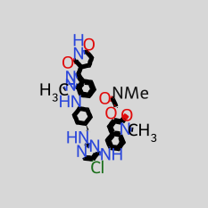 CNC(=O)COc1cc2cc(Nc3nc(NC[C@H]4CC[C@@H](Nc5cccc6c(C7CCC(=O)NC7=O)nn(C)c56)CC4)ncc3Cl)ccc2n(C)c1=O